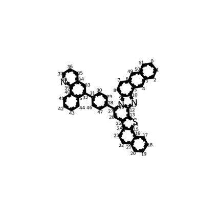 c1ccc2cc3c(ccc4c3nc3c5sc6c7ccccc7ccc6c5cc(-c5ccc(-c6cc7cccnc7c7ccccc67)cc5)n43)cc2c1